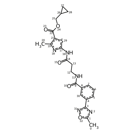 Cc1nc(-c2cccc(C(=O)NCCC(=O)Nc3nc(C)c(C(=O)OCC4CC4)s3)c2)no1